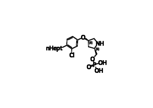 CCCCCCCc1ccc(O[C@H]2CN[C@@H](COP(=O)(O)O)C2)cc1Cl